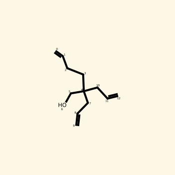 C=CCCC(CO)(CC=C)CC=C